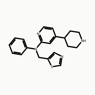 c1ccc(N(Cc2cncs2)c2cc(C3CCNCC3)ccn2)cc1